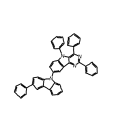 c1ccc(-c2ccc3c(c2)c2ccccc2n3-c2ccc3c(c2)c2nc(-c4ccccc4)nc(-c4ccccc4)c2n3-c2ccccc2)cc1